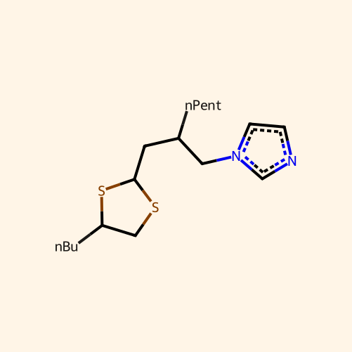 CCCCCC(CC1SCC(CCCC)S1)Cn1ccnc1